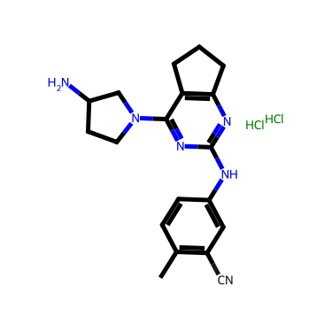 Cc1ccc(Nc2nc3c(c(N4CCC(N)C4)n2)CCC3)cc1C#N.Cl.Cl